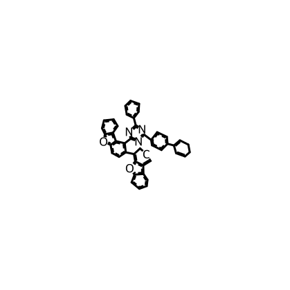 C1=CC(c2ccc(-c3nc(-c4ccccc4)nc(-c4c(C5=c6oc7ccccc7c6=CCC5)ccc5oc6ccccc6c45)n3)cc2)=CCC1